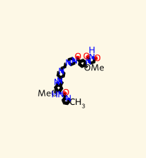 COc1cc2nn(C3CCN(CCCN4CCN(C(=O)c5ccc(OC)c(N6CCC(=O)NC6=O)c5)CC4)CC3)cc2cc1NC(=O)c1cccc(C)n1